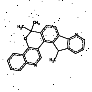 CC1c2cccnc2-c2ccc3c(c21)-c1cnc2ccccc2c1OC3(C)C